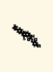 CCc1ccc(/C=C/C(=O)Nc2ccc3nc(N4CCC(N5CCCC5)CC4)cc(C)c3c2)c(Cl)c1